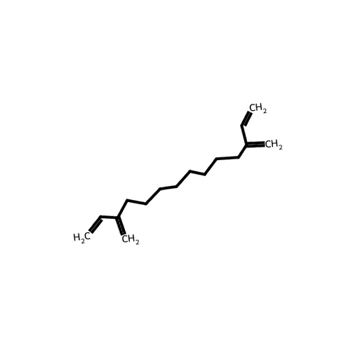 C=CC(=C)CCCCCCCCC(=C)C=C